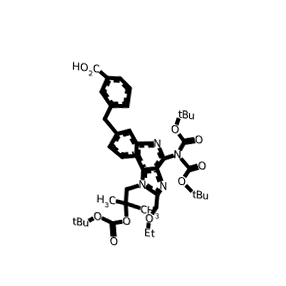 CCOCc1nc2c(N(C(=O)OC(C)(C)C)C(=O)OC(C)(C)C)nc3cc(Cc4cccc(C(=O)O)c4)ccc3c2n1CC(C)(C)OC(=O)OC(C)(C)C